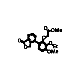 CCOc1c(OC)ccc(-c2cccc3c2COC3=O)c1OCC(=O)OC